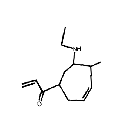 C=CC(=O)C1CC=CC(C)C(NCC)C1